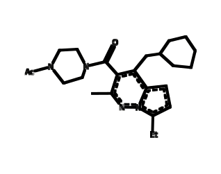 CCc1ccc2c(CC3CCCCC3)c(C(=O)N3CCN(C(C)=O)CC3)c(C)nn12